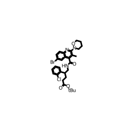 Cc1c(N2CCCCO2)nc2ccc(Br)cc2c1C(=O)NCC(CCC(=O)OC(C)(C)C)c1ccccc1Cl